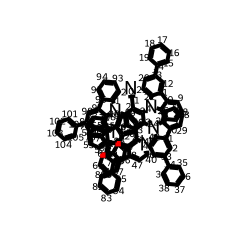 N#Cc1c(-n2c3ccccc3c3cc(-c4ccccc4)ccc32)c(-n2c3ccccc3c3cc(-c4ccccc4)ccc32)c(-c2nccc3c2C2(c4ccccc4-c4ccccc42)c2ccccc2-3)c(-n2c3ccccc3c3cc(-c4ccccc4)ccc32)c1-n1c2ccccc2c2cc(-c3ccccc3)ccc21